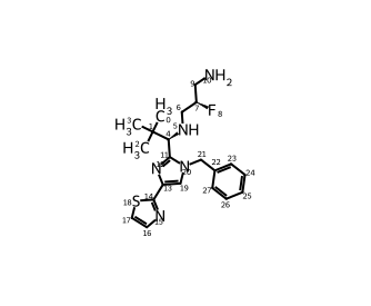 CC(C)(C)[C@@H](NC[C@H](F)CN)c1nc(-c2nccs2)cn1Cc1ccccc1